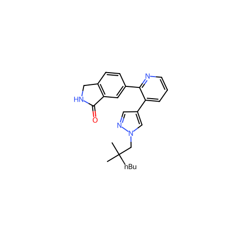 CCCCC(C)(C)Cn1cc(-c2cccnc2-c2ccc3c(c2)C(=O)NC3)cn1